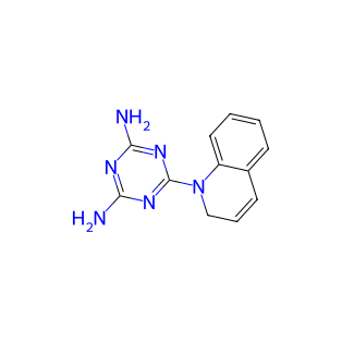 Nc1nc(N)nc(N2CC=Cc3ccccc32)n1